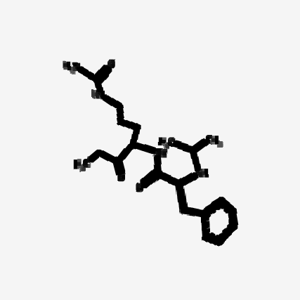 CCC(=O)C(CCCNC(N)=O)NC(=O)C(Cc1ccccc1)NC(C)C